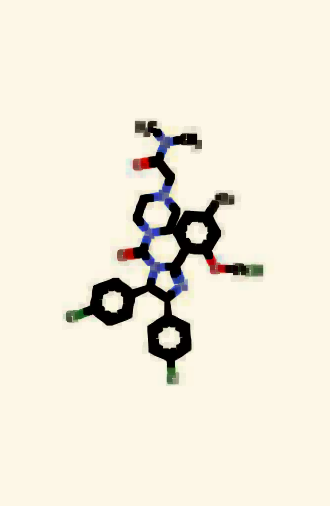 CC(C)Oc1cc(C(C)(C)C)ccc1C1=N[C@@H](c2ccc(Cl)cc2)[C@@H](c2ccc(Cl)cc2)N1C(=O)N1CCN(CC(=O)N(C)C)CC1.Cl